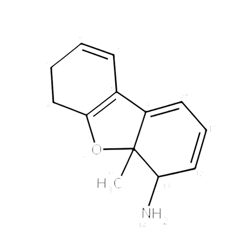 CC12OC3=C(C=CCC3)C1=CC=CC2N